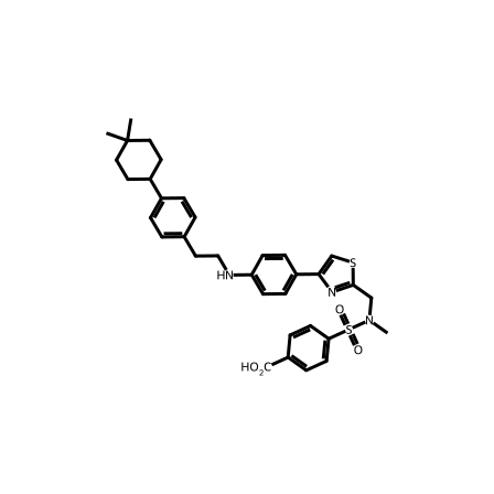 CN(Cc1nc(-c2ccc(NCCc3ccc(C4CCC(C)(C)CC4)cc3)cc2)cs1)S(=O)(=O)c1ccc(C(=O)O)cc1